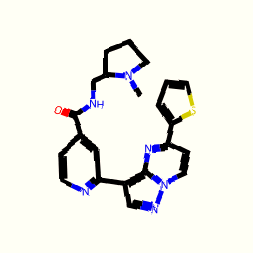 CN1CCCC1CNC(=O)c1ccnc(-c2cnn3ccc(-c4cccs4)nc23)c1